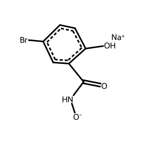 O=C(N[O-])c1cc(Br)ccc1O.[Na+]